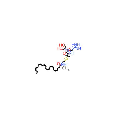 C.CC/C=C\C/C=C\C/C=C\C/C=C\C/C=C\C/C=C\CCC(=O)NCCSSC(C)(C)C(NC(=O)CNC(=N)N)C(=O)NC(CO)CO